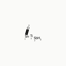 [O]=[Sn].[SbH3].[Ti]